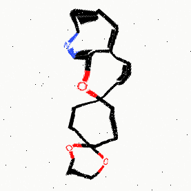 C1=CC2(CCC3(CC2)OCCO3)Oc2ncccc21